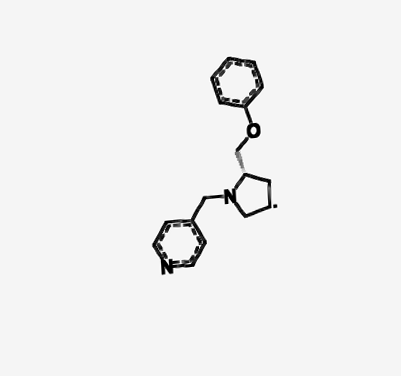 [CH]1C[C@@H](COc2ccccc2)N(Cc2ccncc2)C1